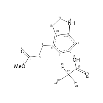 COC(=O)CCc1cccc2c1CCN2.O=C(O)C(F)(F)F